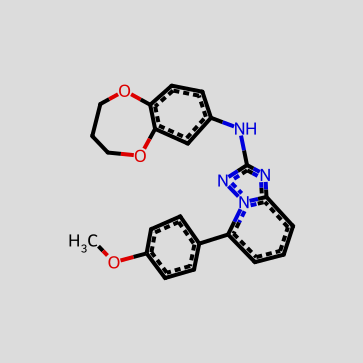 COc1ccc(-c2cccc3nc(Nc4ccc5c(c4)OCCCO5)nn23)cc1